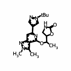 Cc1c2c(OC(C)C3CNC(=O)O3)nc(-c3cnn(C(C)(C)C)c3)cc2nn1C